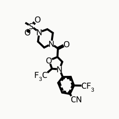 CS(=O)(=O)N1CCN(C(=O)C2CN(c3ccc(C#N)c(C(F)(F)F)c3)C(C(F)(F)F)O2)CC1